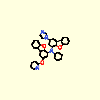 c1ccc(N(c2cc(Oc3ccccn3)cc3c2oc2ccccc23)c2cc(-n3ccnc3)cc3c2oc2ccccc23)cc1